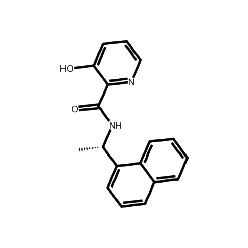 C[C@H](NC(=O)c1ncccc1O)c1cccc2ccccc12